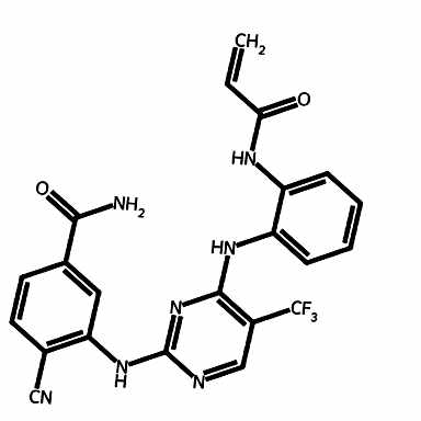 C=CC(=O)Nc1ccccc1Nc1nc(Nc2cc(C(N)=O)ccc2C#N)ncc1C(F)(F)F